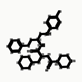 Cc1ccc(NC[C@H](CCc2ccccc2)NC(=O)[C@@H](CC(=O)N2CCOCC2)CC2CCCCC2)cc1